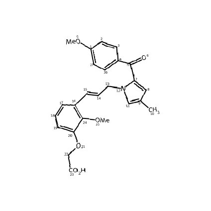 COc1ccc(C(=O)c2cc(C)cn2CC=Cc2cccc(OCC(=O)O)c2OC)cc1